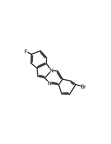 Fc1ccc2c(c1)cc1nc3ccc(Br)cc3cn12